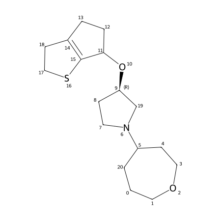 C1COCCC(N2CC[C@@H](OC3CCC4=C3SCC4)C2)C1